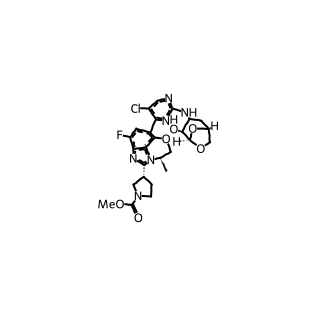 COC(=O)N1CC[C@@H](c2nc3c(F)cc(-c4nc(N[C@@H]5C[C@H]6CO[C@H](O6)[C@H]5O)ncc4Cl)c4c3n2[C@H](C)CO4)C1